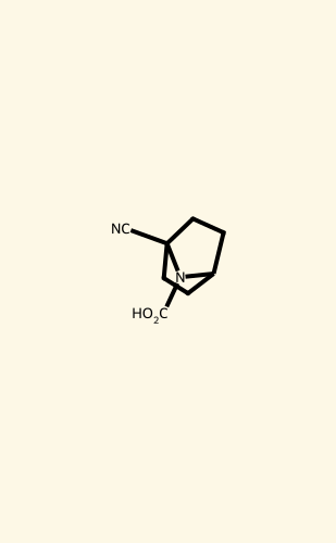 N#CC12CCC(CC1)N2C(=O)O